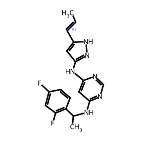 C/C=C/c1cc(Nc2cc(NC(C)c3ccc(F)cc3F)ncn2)n[nH]1